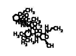 C#CCCC(NC(=O)[C@@H]1CC(C)(C)C(C)CN1C(=O)[C@@H](NC(=O)NC1(CS(=O)(=O)CC)CCCCC1)C(C)(C)C)C(=O)C(=O)NCC=C